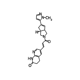 Cn1nccc1C1=CC2CN(C(=O)/C=C/c3cnc4c(c3)CCC(=O)N4)C[C@@H]2C1